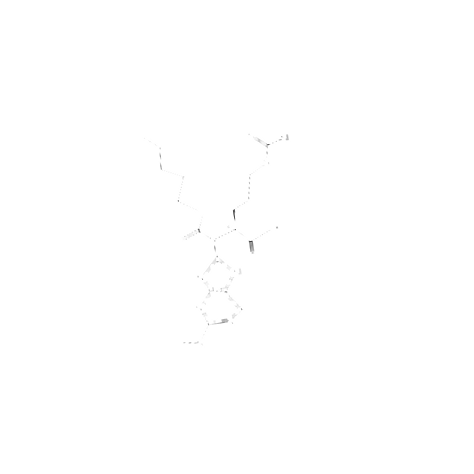 CCCCCOC(=O)N(c1nc2nc(NC)ncc2[nH]1)[C@@H](CCCNC(=N)N)C(=O)O